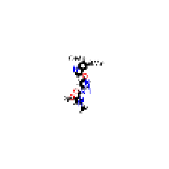 COc1cc2nccc(Oc3ccc(NC(=O)c4nn(C5CC5)cc4OC(C)C)nn3)c2cc1OC